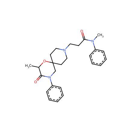 CC1OC2(CCN(CCC(=O)N(C)c3ccccc3)CC2)CN(c2ccccc2)C1=O